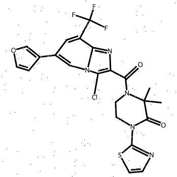 CC1(C)C(=O)N(c2nccs2)CCN1C(=O)c1nc2c(C(F)(F)F)cc(-c3ccoc3)cn2c1Cl